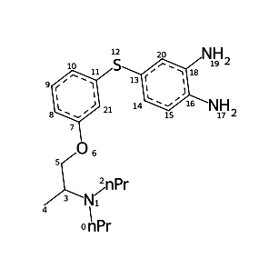 CCCN(CCC)C(C)COc1cccc(Sc2ccc(N)c(N)c2)c1